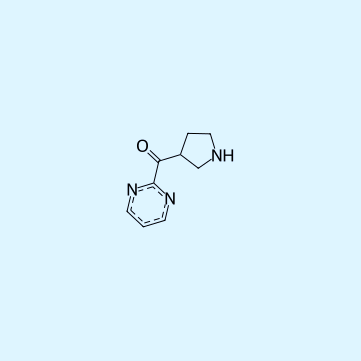 O=C(c1ncccn1)C1CCNC1